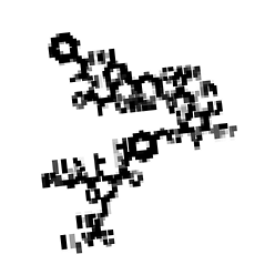 CC[C@H](C)[C@@H]([C@H](CC(=O)N1CCC[C@H]1[C@H](OC)[C@@H](C)C(=O)N[C@@H](C)[C@H](O)c1ccccc1)OC)N(C)C(=O)[C@@H](NC(=O)[C@H](C(C)C)N(C)C(=O)OCc1ccc(NC(=O)[C@H](CCCNC(N)=O)NC(=O)[C@@H](N)CC(C)C)cc1)C(C)C